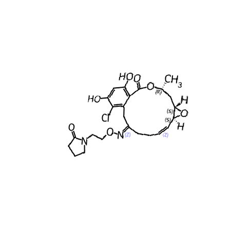 C[C@@H]1C[C@@H]2O[C@H]2/C=C\CC/C(=N/OCCN2CCCC2=O)Cc2c(Cl)c(O)cc(O)c2C(=O)O1